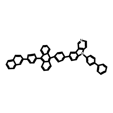 c1ccc(-c2ccc(-n3c4ccncc4c4cc(-c5ccc(-c6c7ccccc7c(-c7ccc(-c8ccc9ccccc9c8)cc7)c7ccccc67)cc5)ccc43)cc2)cc1